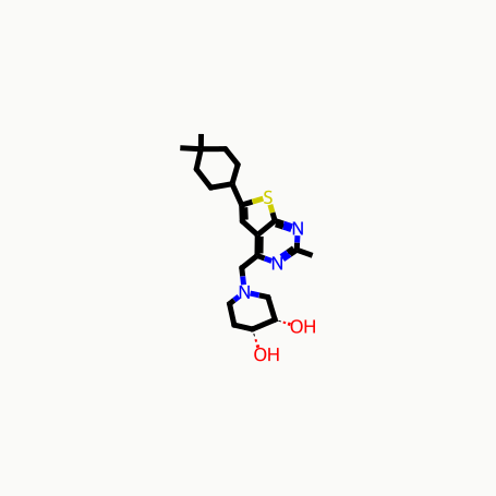 Cc1nc(CN2CC[C@@H](O)[C@@H](O)C2)c2cc(C3CCC(C)(C)CC3)sc2n1